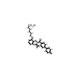 [2H]C1(N(Cc2ccccc2OCCCCCC(=O)O)C(=O)c2ccc(-c3ccc(F)cc3)cc2)CC1